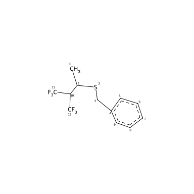 CC(SCc1ccccc1)C(C(F)(F)F)C(F)(F)F